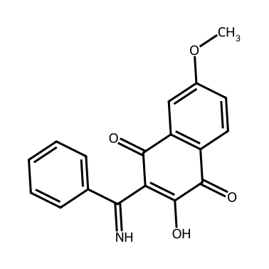 COc1ccc2c(c1)C(=O)C(C(=N)c1ccccc1)=C(O)C2=O